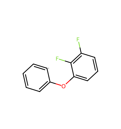 Fc1cccc(Oc2[c]cccc2)c1F